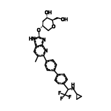 Cc1cc2[nH]c(O[C@H]3CO[C@H](CO)[C@@H](O)C3)nc2nc1-c1ccc(-c2ccc(C(NC3CC3)C(F)(F)F)cc2)cc1